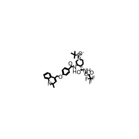 Cc1cc(COc2ccc(C(=O)N[C@@H]3CN([S+]([O-])C(C)(C)C)CC[C@@H]3C(=O)NOC(=O)C(F)(F)F)cc2)c2ccccc2n1